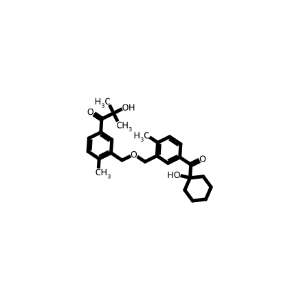 Cc1ccc(C(=O)C(C)(C)O)cc1COCc1cc(C(=O)C2(O)CCCCC2)ccc1C